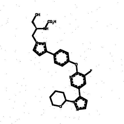 O=C(O)N[C@H](CO)Cn1ccc(-c2ccc(Oc3ncc(-c4ccnn4C4CCCCO4)cc3F)cc2)n1